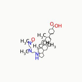 CC1C(C2=CCC(C(=O)O)CC2)=CCC2(C)C1CC[C@]1(C)C2CCC2C3CCCC3(NCCN(C)CCN(C)C=O)CC[C@]21C